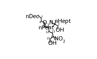 CCCCCCCC(CO)(CCCCC)[N+](=O)[O-].CCCCCCCCCCCCCCCCCC(CO)[N+](=O)[O-]